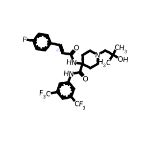 CC(C)(O)CN1CCC(NC(=O)/C=C/c2ccc(F)cc2)(C(=O)Nc2cc(C(F)(F)F)cc(C(F)(F)F)c2)CC1